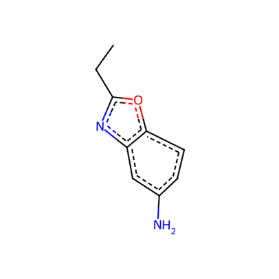 CCc1nc2cc(N)ccc2o1